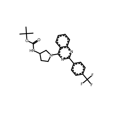 CC(C)(C)OC(=O)NC1CCN(c2nc(-c3ccc(C(F)(F)F)cc3)nc3ccccc23)C1